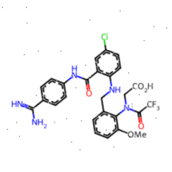 COc1cccc(CNc2ccc(Cl)cc2C(=O)Nc2ccc(C(=N)N)cc2)c1N(CC(=O)O)C(=O)C(F)(F)F